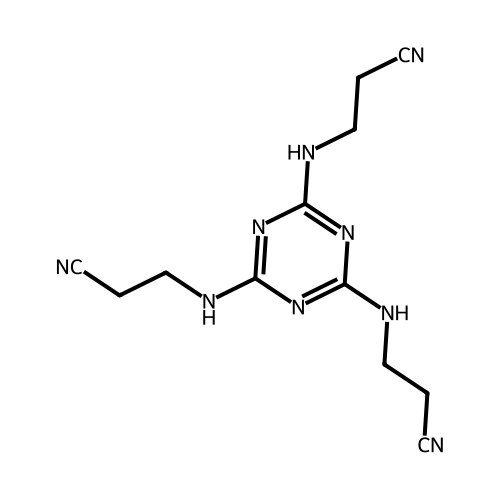 N#CCCNc1nc(NCCC#N)nc(NCCC#N)n1